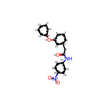 O=C(Cc1cccc(Oc2ccccc2)c1)Nc1ccc([N+](=O)[O-])cc1